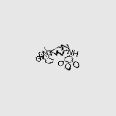 COc1cc(Nc2ncc3c(C)nc(-c4ccccc4[N+](=O)[O-])n3n2)cc(OC)c1OC